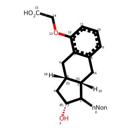 CCCCCCCCCC1[C@H](O)C[C@@H]2Cc3c(cccc3OCC(=O)O)C[C@H]12